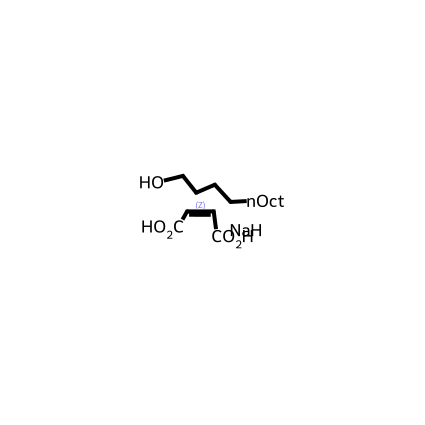 CCCCCCCCCCCCO.O=C(O)/C=C\C(=O)O.[NaH]